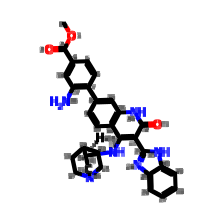 COC(=O)c1ccc(-c2ccc3c(N[C@H]4CN5CCC4CC5)c(-c4nc5ccccc5[nH]4)c(=O)[nH]c3c2)c(N)c1